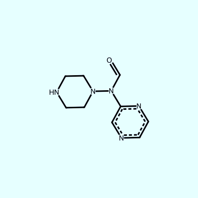 O=CN(c1cnccn1)N1CCNCC1